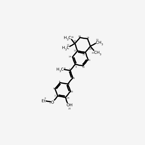 CCOc1ccc(C=C(C)c2ccc3c(c2)C(C)(C)CCC3(C)C)cc1O